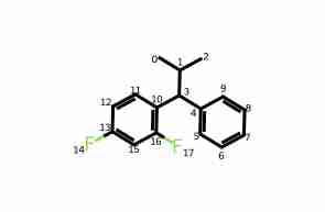 CC(C)C(c1ccccc1)c1ccc(F)cc1F